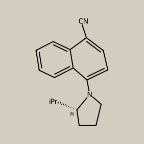 CC(C)[C@H]1CCCN1c1ccc(C#N)c2ccccc12